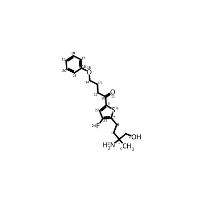 CC(N)(CO)CCc1sc(C(=O)CCCOc2ccccc2)cc1F